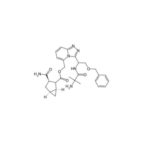 CC(C)(N)C(=O)NC(COCc1ccccc1)c1nnc2cccc(COC(=O)C3[C@H]4C[C@H]4C[C@H]3C(N)=O)n12